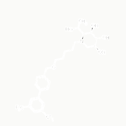 C[C@@H](O)[C@H]1[C@@H](O)[C@H](O)[C@@H](O)CN1CCCCCOCc1ccc(-c2cc(C(F)(F)F)cc(C(F)(F)F)c2)cc1